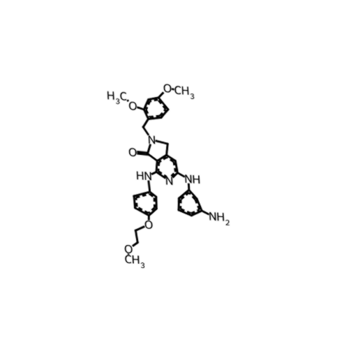 COCCOc1ccc(Nc2nc(Nc3cccc(N)c3)cc3c2C(=O)N(Cc2ccc(OC)cc2OC)C3)cc1